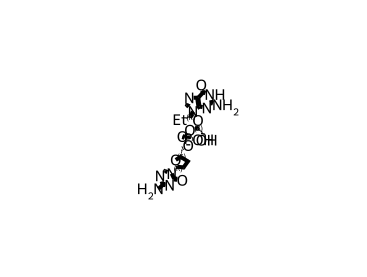 CC[C@@H](O[C@H](CO)OP(=O)(O)OC[C@@H]1CC[C@H](n2cnc(N)nc2=O)O1)n1cnc2c(=O)[nH]c(N)nc21